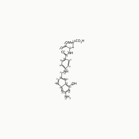 COC(=O)C(CCC(=O)O)NC(=O)c1ccc(NCc2cnc3nc(N)nc(O)c3n2)cc1